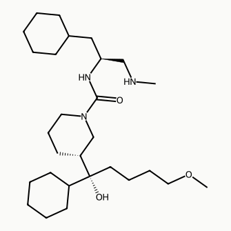 CNC[C@H](CC1CCCCC1)NC(=O)N1CCC[C@@H]([C@@](O)(CCCCOC)C2CCCCC2)C1